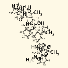 C=C1[C@H]2C[C@H](NC(=O)[C@@H]3[C@H]([C@H](C)O)[C@H](CO)ON3Cc3cccc(-c4cc(C(=O)N[C@H](CN(C)C)[C@@H](NS(C)(=O)=O)c5ccccc5)cc(N(C)C)c4)c3OC)[C@@H](C)[C@@H]1C2